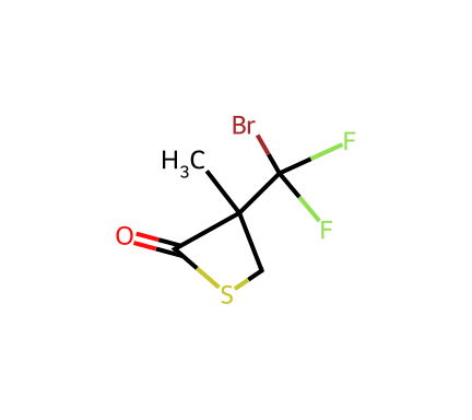 CC1(C(F)(F)Br)CSC1=O